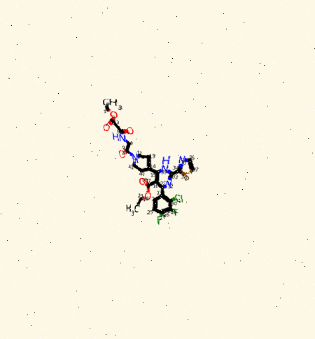 CCOC(=O)C(=O)NCC(=O)N1CCC(C2=C(C(=O)OCC)C(c3ccc(F)c(F)c3Cl)N=C(c3nccs3)N2)CC1